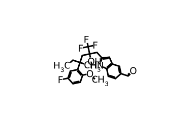 CCC(C)(CC(O)(Cc1cc2cc(C=O)ccc2[nH]1)C(F)(F)F)c1cc(F)ccc1OC